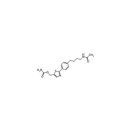 CC(=O)NCCCCc1ccc(-c2ncc(COC(N)=O)s2)cc1